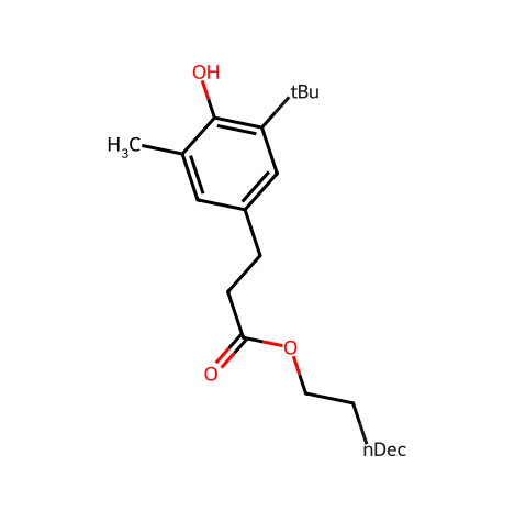 CCCCCCCCCCCCOC(=O)CCc1cc(C)c(O)c(C(C)(C)C)c1